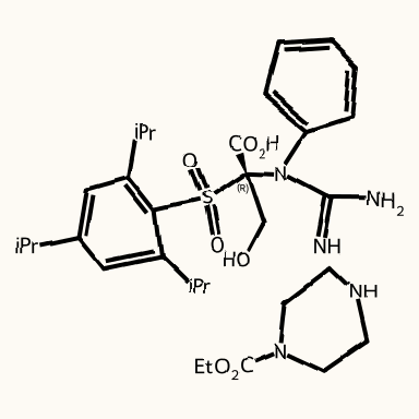 CC(C)c1cc(C(C)C)c(S(=O)(=O)[C@](CO)(C(=O)O)N(C(=N)N)c2ccccc2)c(C(C)C)c1.CCOC(=O)N1CCNCC1